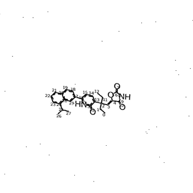 CCC(C=C1OC(=O)NC1=O)(CC)c1ccc(-c2ccc3cccc(C(C)C)c3c2)[nH]c1=O